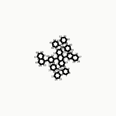 c1ccc([Si](c2ccccc2)(c2ccccc2)c2ccc3c(-c4ccc5ccccc5c4)c4cc([Si](c5ccccc5)(c5ccccc5)c5ccccc5)ccc4c(-c4ccc(-c5cccc6ccccc56)cc4)c3c2)cc1